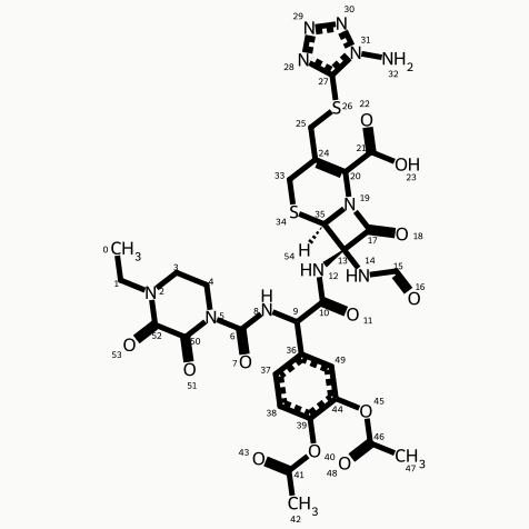 CCN1CCN(C(=O)NC(C(=O)N[C@]2(NC=O)C(=O)N3C(C(=O)O)=C(CSc4nnnn4N)CS[C@@H]32)c2ccc(OC(C)=O)c(OC(C)=O)c2)C(=O)C1=O